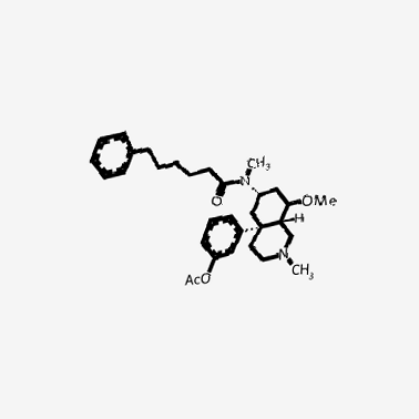 COC1C[C@@H](N(C)C(=O)CCCCCc2ccccc2)C[C@]2(c3cccc(OC(C)=O)c3)CCN(C)C[C@@H]12